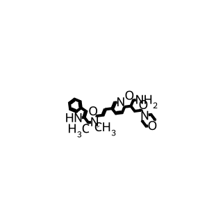 CC(c1cc2ccccc2[nH]1)N(C)C(=O)C=Cc1ccc(C(CC(=O)N2CCOCC2)C(N)=O)nc1